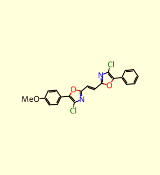 COc1ccc(-c2oc(C=Cc3nc(Cl)c(-c4ccccc4)o3)nc2Cl)cc1